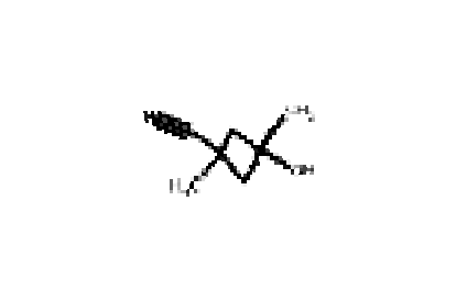 CC1(O)CC(C)(C#N)C1